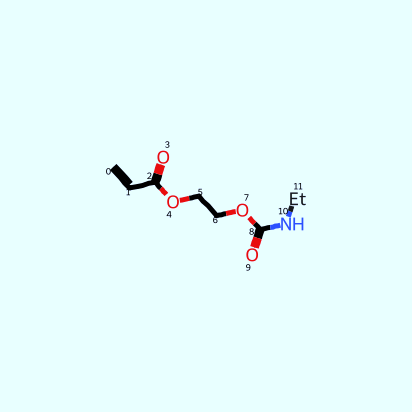 C=CC(=O)OCCOC(=O)NCC